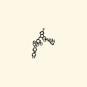 COc1cc(C=C2C(C)=C(CC(=O)NCc3cccnc3)c3cc(F)ccc32)cc(OC)c1OC(=O)N1CCN(C2CCN(C)CC2)CC1